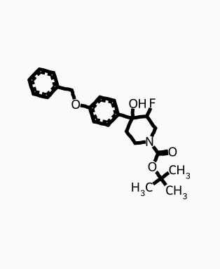 CC(C)(C)OC(=O)N1CCC(O)(c2ccc(OCc3ccccc3)cc2)C(F)C1